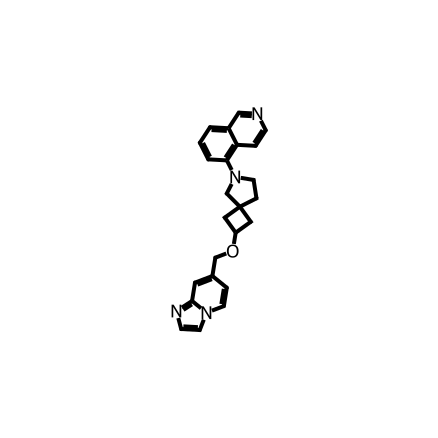 c1cc(N2CCC3(CC(OCc4ccn5ccnc5c4)C3)C2)c2ccncc2c1